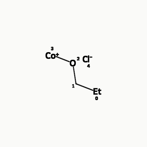 CCC[O][Co+].[Cl-]